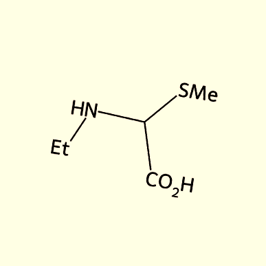 CCNC(SC)C(=O)O